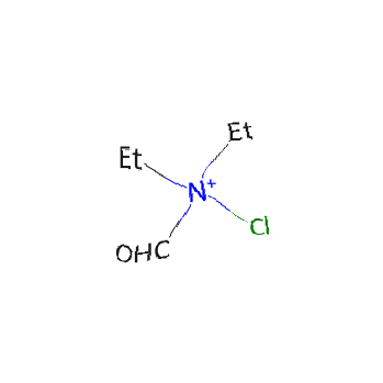 CC[N+](Cl)(C=O)CC